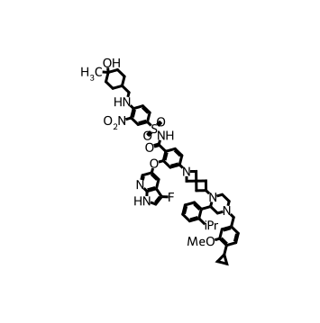 COc1cc(CN2CCN(C3CC4(C3)CN(c3ccc(C(=O)NS(=O)(=O)c5ccc(NCC6CCC(C)(O)CC6)c([N+](=O)[O-])c5)c(Oc5cnc6[nH]cc(F)c6c5)c3)C4)C(c3ccccc3C(C)C)C2)ccc1C1CC1